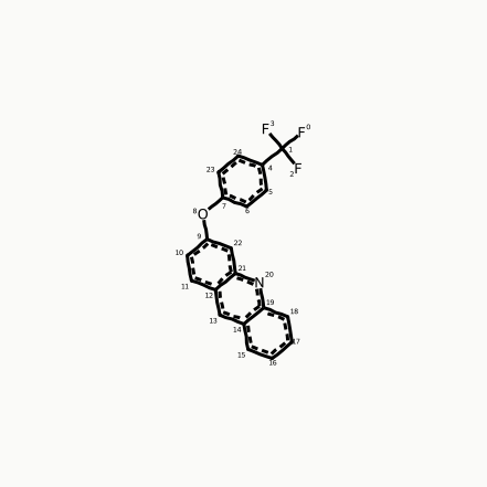 FC(F)(F)c1ccc(Oc2ccc3cc4ccccc4nc3c2)cc1